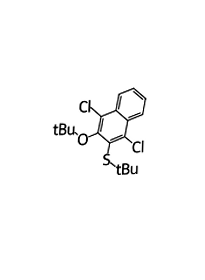 CC(C)(C)Oc1c(SC(C)(C)C)c(Cl)c2ccccc2c1Cl